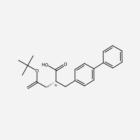 C=C(C[C@@H](Cc1ccc(-c2ccccc2)cc1)C(=O)O)OC(C)(C)C